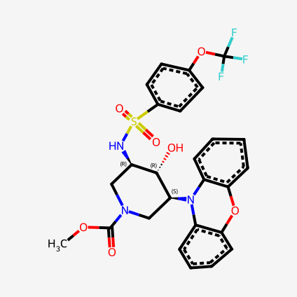 COC(=O)N1C[C@@H](NS(=O)(=O)c2ccc(OC(F)(F)F)cc2)[C@H](O)[C@@H](N2c3ccccc3Oc3ccccc32)C1